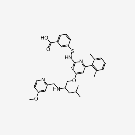 COc1ccnc(CNC(COc2cc(-c3c(C)cccc3C)nc(NSc3cccc(C(=O)O)c3)n2)CC(C)C)c1